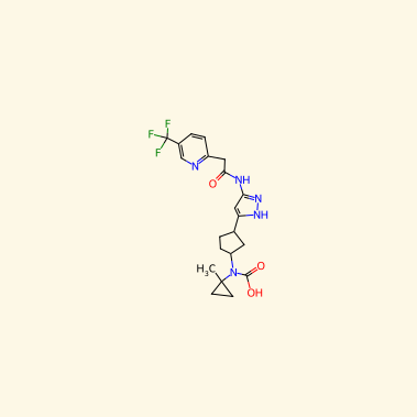 CC1(N(C(=O)O)C2CCC(c3cc(NC(=O)Cc4ccc(C(F)(F)F)cn4)n[nH]3)C2)CC1